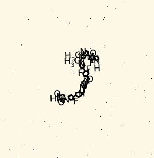 C[C@@H](c1cc2c(-n3cc(F)c4c(c3=O)CCN4)ccnc2n1C)N1CC=C(c2c(F)cc(C(=O)N3CCn4nc(CN5CCC(c6ccc(NC7CCC(=O)NC7=O)cc6F)CC5)cc4C3)cc2F)CC1